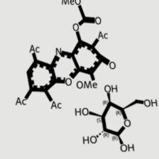 COC(=O)Oc1c2nc3c(C(C)=O)cc(C(C)=O)c(C(C)=O)c3oc-2c(OC)c(=O)c1C(C)=O.OC[C@H]1O[C@@H](O)[C@H](O)[C@@H](O)[C@H]1O